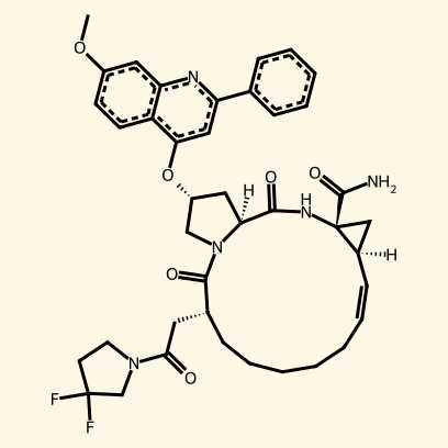 COc1ccc2c(O[C@@H]3C[C@H]4C(=O)N[C@]5(C(N)=O)C[C@H]5/C=C\CCCCC[C@H](CC(=O)N5CCC(F)(F)C5)C(=O)N4C3)cc(-c3ccccc3)nc2c1